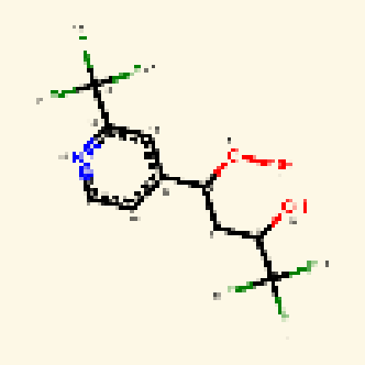 OOC(CC(O)C(F)(F)F)c1ccnc(C(F)(F)F)c1